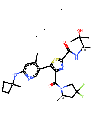 Cc1cc(NC2(C)CCC2)ncc1-c1sc(C(=O)N[C@H](C)C(C)(C)O)nc1C(=O)N1CC(F)(F)C[C@@H]1C